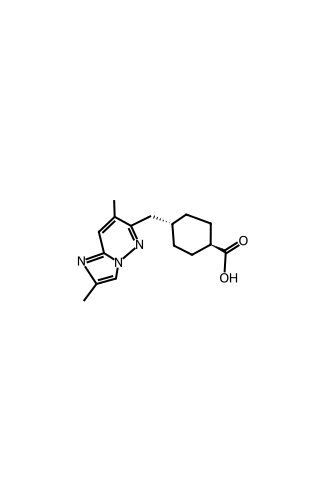 Cc1cn2nc(C[C@H]3CC[C@H](C(=O)O)CC3)c(C)cc2n1